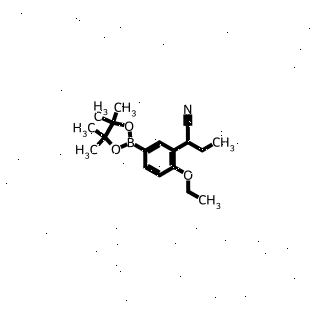 CCOc1ccc(B2OC(C)(C)C(C)(C)O2)cc1C(C#N)CC